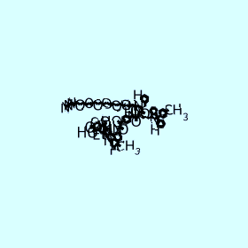 CC[C@@]1(O)C(=O)OCc2c1cc1n(c2=O)Cc2c-1nc1cc(F)c(C)c3c1c2[C@@H](NC(=O)C(O)c1ccc(NC(=O)[C@H](CCCCNC(c2ccccc2)(c2ccccc2)c2ccc(C)cc2)NC(=O)[C@H](Cc2ccccc2)NC(=O)CCOCCOCCOCCOCCOCCOCCN=[N+]=[N-])cc1)CC3